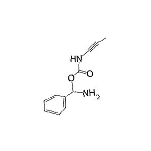 CC#CNC(=O)OC(N)c1ccccc1